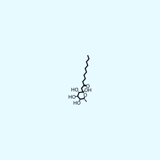 CCCCCCCCCC(=O)C[C@]1(O)O[C@@H](C)[C@@H](O)[C@@H](O)[C@@H]1O